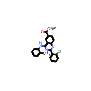 COC(=O)c1ccc2nc(-c3ccccc3Cl)nc(Nc3ccccc3C)c2c1